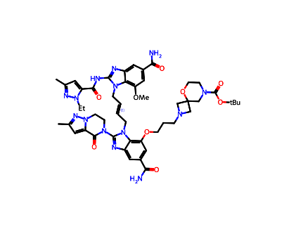 CCn1nc(C)cc1C(=O)Nc1nc2cc(C(N)=O)cc(OC)c2n1C/C=C/Cn1c(N2CCn3nc(C)cc3C2=O)nc2cc(C(N)=O)cc(OCCCN3CC4(C3)CN(C(=O)OC(C)(C)C)CCO4)c21